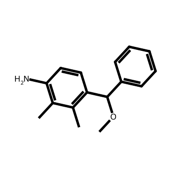 COC(c1ccccc1)c1ccc(N)c(C)c1C